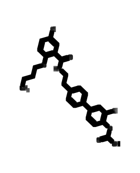 CCCCOc1ccc(Cl)cc1C(=O)NCCc1ccc(-c2ccc(OC(=O)O)c(Cl)c2)cc1